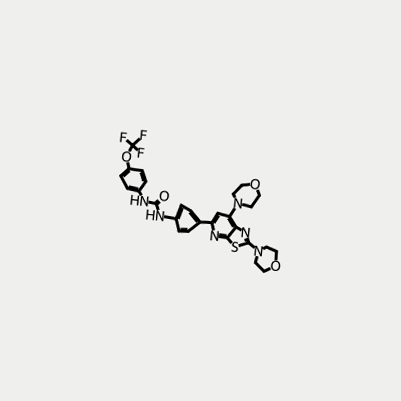 O=C(Nc1ccc(OC(F)(F)F)cc1)Nc1ccc(-c2cc(N3CCOCC3)c3nc(N4CCOCC4)sc3n2)cc1